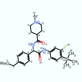 COCc1ccc([C@@H](NC(=O)C2CCN(C(C)=O)CC2)C(=O)Nc2ccc([Si](C)(C)C)c(F)c2)cc1